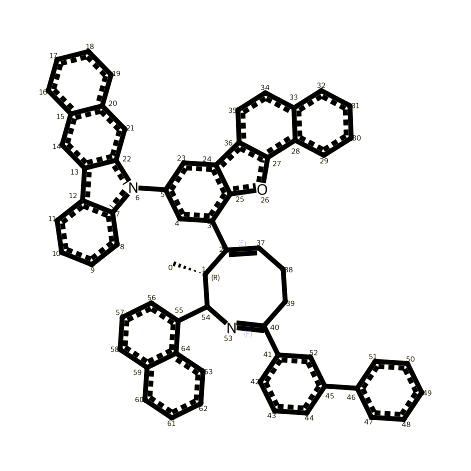 C[C@@H]1/C(c2cc(-n3c4ccccc4c4cc5ccccc5cc43)cc3c2oc2c4ccccc4ccc32)=C\CC/C(c2cccc(-c3ccccc3)c2)=N\C1c1cccc2ccccc12